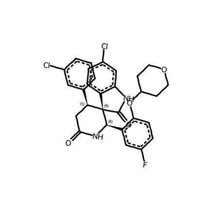 O=C1C[C@@H](c2cccc(Cl)c2)[C@]2(C(=O)Nc3cc(Cl)ccc32)[C@@H](c2cc(F)ccc2OC2CCOCC2)N1